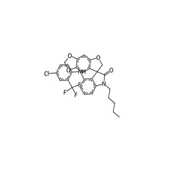 CCCCCN1C(=O)C2(COc3cc4c(cc32)OCO4)c2c(Nc3ccc(Cl)cc3C(F)(F)F)cccc21